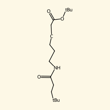 CC(C)(C)CCC(=O)NCCCCCC(=O)OC(C)(C)C